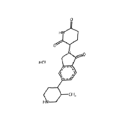 CC1CNCCC1c1ccc2c(c1)CN(C1CCC(=O)NC1=O)C2=O.Cl